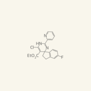 CCOC(=O)C1=C(Cl)NC(c2ccccn2)=NC12CCc1cc(F)ccc12